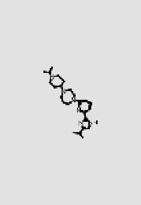 CC(C)c1c[nH]c(-c2cccc(N3CCCN(C4CCN(C(C)C)CC4)CC3)n2)n1